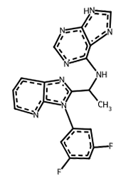 CC(Nc1ncnc2[nH]cnc12)c1nc2cccnc2n1-c1cc(F)cc(F)c1